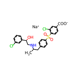 C[C@H](Cc1ccc(S(=O)(=O)c2ccc(C(=O)[O-])cc2Cl)cc1)NC[C@H](O)c1cccc(Cl)c1.[Na+]